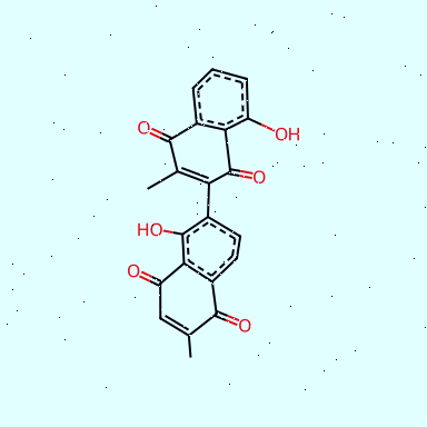 CC1=CC(=O)c2c(ccc(C3=C(C)C(=O)c4cccc(O)c4C3=O)c2O)C1=O